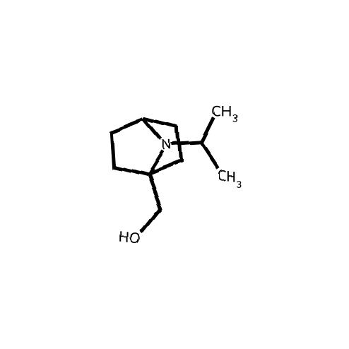 CC(C)N1C2CCC1(CO)CC2